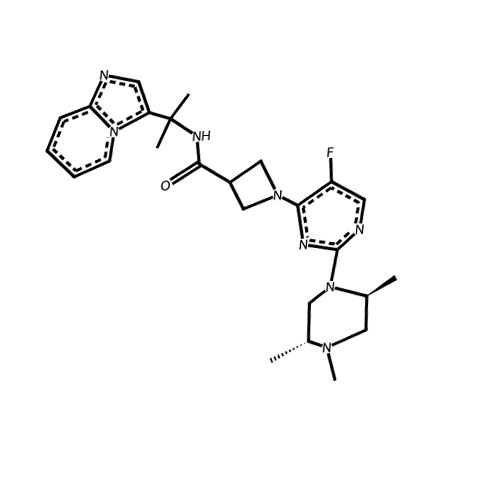 C[C@@H]1CN(c2ncc(F)c(N3CC(C(=O)NC(C)(C)c4cnc5ccccn45)C3)n2)[C@@H](C)CN1C